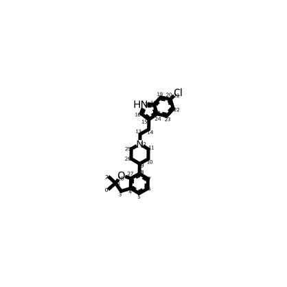 CC1(C)Cc2cccc(C3CCN(CCc4c[nH]c5cc(Cl)ccc45)CC3)c2O1